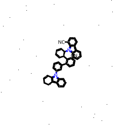 N#Cc1cccc(-c2cccc(-n3c4c(c5ccccc53)CCC=C4)c2)c1C1C=CC=CC1n1c2ccccc2c2cccc(C#N)c21